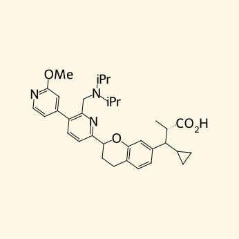 COc1cc(-c2ccc(C3CCc4ccc(C(C5CC5)[C@H](C)C(=O)O)cc4O3)nc2CN(C(C)C)C(C)C)ccn1